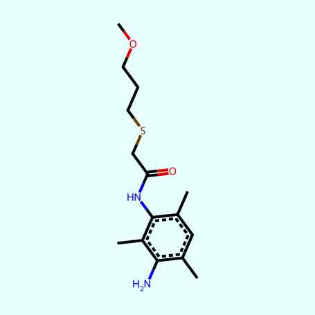 COCCCSCC(=O)Nc1c(C)cc(C)c(N)c1C